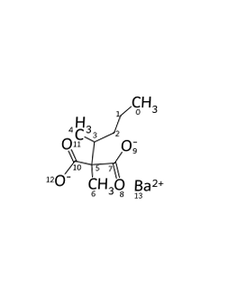 CCCC(C)C(C)(C(=O)[O-])C(=O)[O-].[Ba+2]